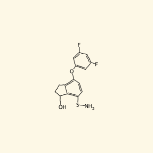 NSc1ccc(Oc2cc(F)cc(F)c2)c2c1C(O)CC2